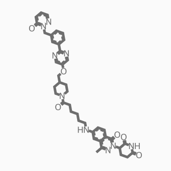 Cc1nn(C2CCC(=O)NC2=O)c(=O)c2ccc(NCCCCCC(=O)N3CCC(COc4cnc(-c5cccc(Cn6ncccc6=O)c5)nc4)CC3)cc12